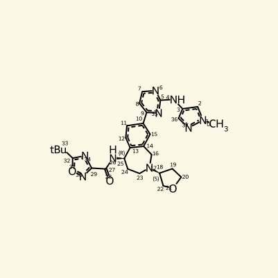 Cn1cc(Nc2nccc(-c3ccc4c(c3)CN([C@H]3CCOC3)CC[C@H]4NC(=O)c3noc(C(C)(C)C)n3)n2)cn1